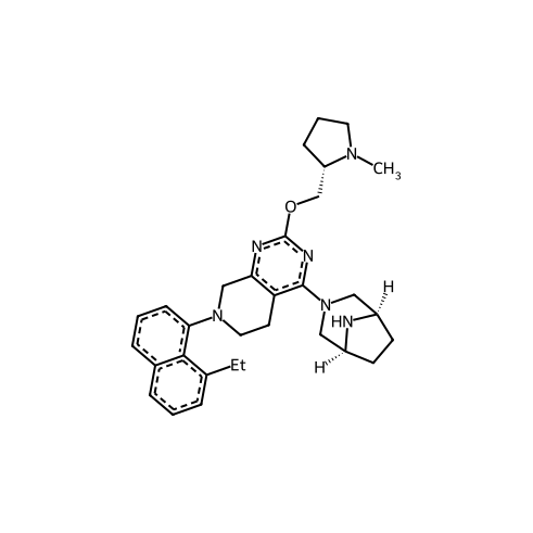 CCc1cccc2cccc(N3CCc4c(nc(OC[C@@H]5CCCN5C)nc4N4C[C@H]5CC[C@@H](C4)N5)C3)c12